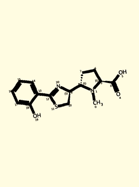 CN1[C@H](C(=O)O)CC[C@H]1[C@H]1CSC(c2ccccc2O)=N1